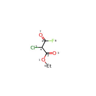 CCOC(=O)C(Cl)C(=O)F